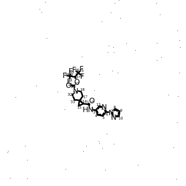 O=C(Nc1ccc(-n2cccn2)nc1)C1CC12CCN(C(=O)OC(C(F)(F)F)C(F)(F)F)CC2